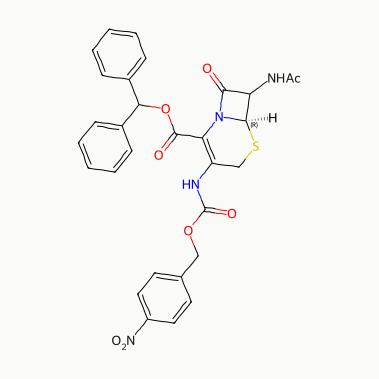 CC(=O)NC1C(=O)N2C(C(=O)OC(c3ccccc3)c3ccccc3)=C(NC(=O)OCc3ccc([N+](=O)[O-])cc3)CS[C@H]12